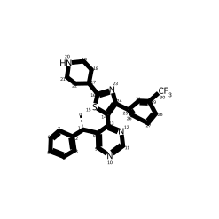 C[C@@H](c1ccccc1)c1cn[c]nc1-c1sc(C2CCNCC2)nc1-c1cccc(C(F)(F)F)c1